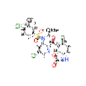 COCN(c1cc(Cl)cnc1C(=O)c1c(Cl)ccc2[nH]c(=O)oc12)S(=O)(=O)c1ccc(Cl)c(C(F)(F)F)c1